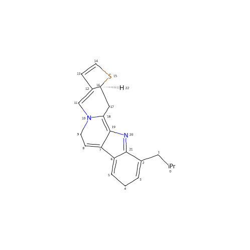 CC(C)CC1=CCC=C2C3=CCN4C=C5C=CS[C@H]5CC4=C3N=C12